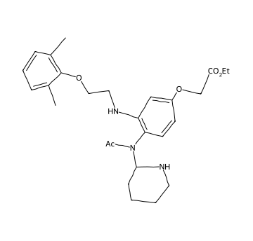 CCOC(=O)COc1ccc(N(C(C)=O)C2CCCCN2)c(NCCOc2c(C)cccc2C)c1